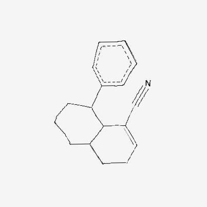 N#CC1=CCCC2CCCC(c3ccccc3)C12